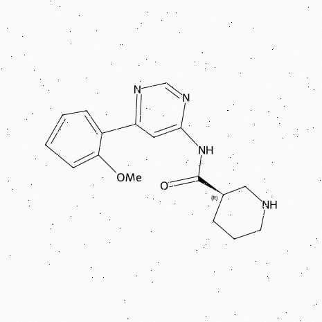 COc1ccccc1-c1cc(NC(=O)[C@@H]2CCCNC2)ncn1